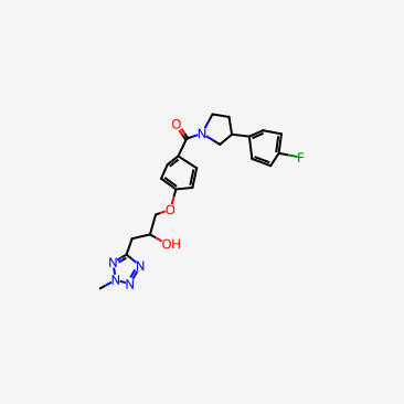 Cn1nnc(CC(O)COc2ccc(C(=O)N3CCC(c4ccc(F)cc4)C3)cc2)n1